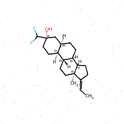 CC=C1CC[C@H]2[C@@H]3CC[C@@H]4C[C@](O)(C(F)F)CC[C@@H]4[C@H]3CC[C@]12C